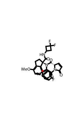 COc1cccc2c1CC[C@@]2(C(=O)NC1CC(F)(F)C1)N(C(=O)[C@@H]1C=CC(=O)N1c1cc(C#N)ccn1)c1cccc(F)c1